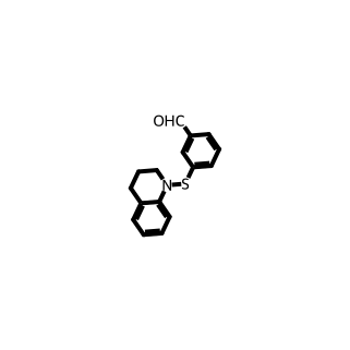 O=Cc1cccc(SN2CCCc3ccccc32)c1